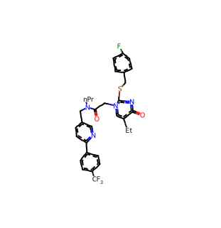 CCCN(Cc1ccc(-c2ccc(C(F)(F)F)cc2)nc1)C(=O)Cn1cc(CC)c(=O)nc1SCc1ccc(F)cc1